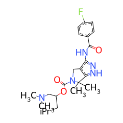 CC(C)CC(CN(C)C)OC(=O)N1Cc2c(NC(=O)c3ccc(F)cc3)n[nH]c2C1(C)C